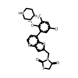 Cc1cc(Cl)cc(-c2ccnc3cc(CN4C(=O)CSC4=O)sc23)c1O[C@H]1CCCNC1